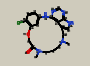 CN1CCCN(C)C(=O)COc2cc(ccc2Cl)Nc2ncnc3[nH]cc(c23)C1